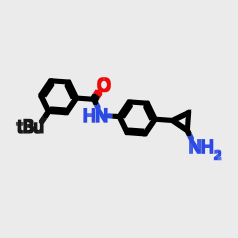 CC(C)(C)c1cccc(C(=O)Nc2ccc(C3CC3N)cc2)c1